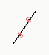 C=CCCCCCCC(=O)OCCCCCCCCCCOC(=O)CCCCCCC=C